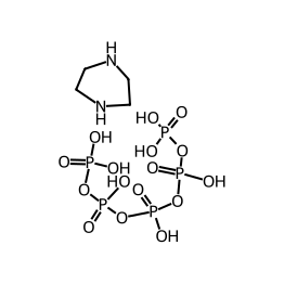 C1CNCCN1.O=P(O)(O)OP(=O)(O)OP(=O)(O)OP(=O)(O)OP(=O)(O)O